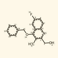 Cc1c(CO)nc2ccc(F)cc2c1OCc1ccccc1